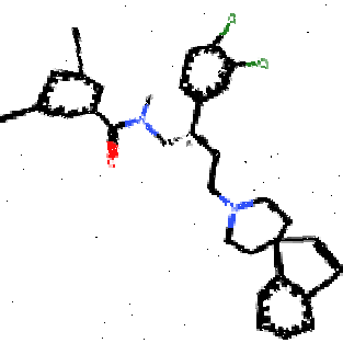 Cc1cc(C)cc(C(=O)N(C)C[C@@H](CCN2CCC3(C=Cc4ccccc43)CC2)c2ccc(Cl)c(Cl)c2)c1